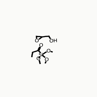 CCC(=O)[Si](OC)(OC)OC.OCC1CO1